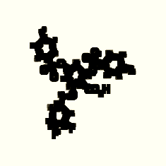 Cc1ccc(S(=O)(=O)Oc2cc(OCc3ccc(F)c(F)c3)c(C(=O)O)c(OS(=O)(=O)c3ccc(C)cc3)c2)cc1